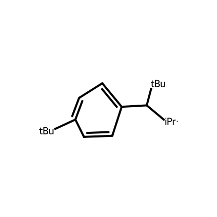 C[C](C)C(c1ccc(C(C)(C)C)cc1)C(C)(C)C